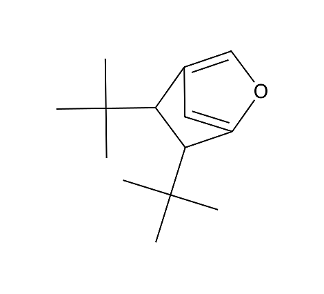 CC(C)(C)C1c2coc(c2)C1C(C)(C)C